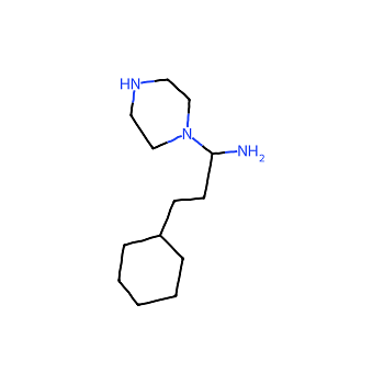 NC(CCC1CCCCC1)N1CCNCC1